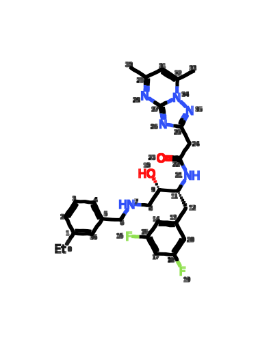 CCc1cccc(CNC[C@H](O)[C@@H](Cc2cc(F)cc(F)c2)NC(=O)Cc2nc3nc(C)cc(C)n3n2)c1